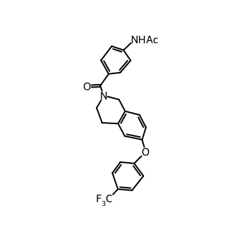 CC(=O)Nc1ccc(C(=O)N2CCc3cc(Oc4ccc(C(F)(F)F)cc4)ccc3C2)cc1